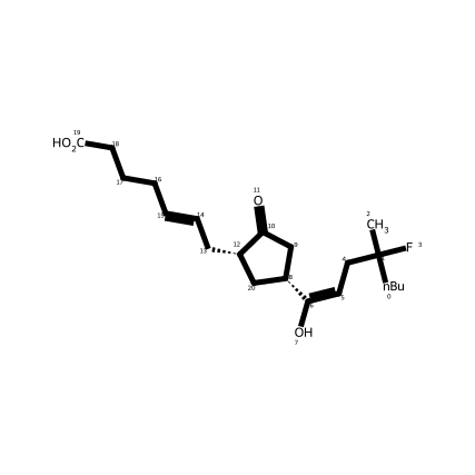 CCCCC(C)(F)C/C=C(/O)[C@H]1CC(=O)[C@@H](CC=CCCCC(=O)O)C1